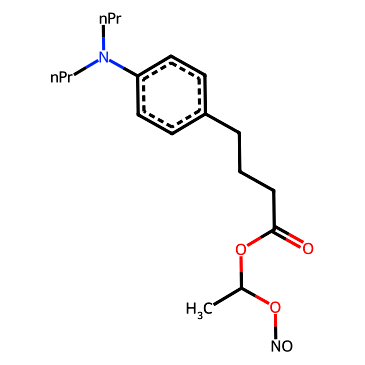 CCCN(CCC)c1ccc(CCCC(=O)OC(C)ON=O)cc1